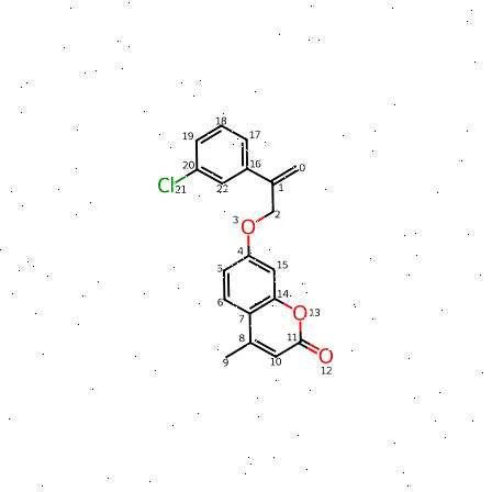 C=C(COc1ccc2c(C)cc(=O)oc2c1)c1cccc(Cl)c1